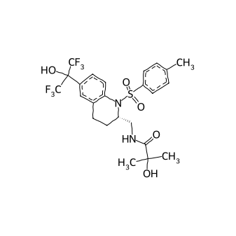 Cc1ccc(S(=O)(=O)N2c3ccc(C(O)(C(F)(F)F)C(F)(F)F)cc3CC[C@H]2CNC(=O)C(C)(C)O)cc1